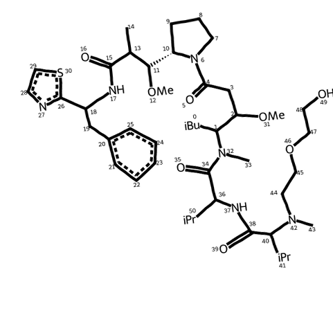 CCC(C)C(C(CC(=O)N1CCC[C@H]1C(OC)C(C)C(=O)NC(Cc1ccccc1)c1nccs1)OC)N(C)C(=O)C(NC(=O)C(C(C)C)N(C)CCOCCO)C(C)C